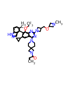 C=CC(=O)N1CC2(CCN(c3nc(N4CC(COC5CN(C)C5)C4)nc4c(OCC(F)(F)F)c(-c5c(C)ccc6[nH]ncc56)c(C5CC5)cc34)CC2)C1